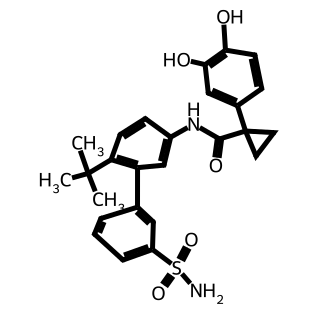 CC(C)(C)c1ccc(NC(=O)C2(c3ccc(O)c(O)c3)CC2)cc1-c1cccc(S(N)(=O)=O)c1